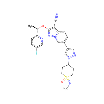 CN=S1(=O)CCC(n2cc(-c3ccc4c(C#N)c(O[C@H](C)c5ccc(F)cn5)nn4c3)cn2)CC1